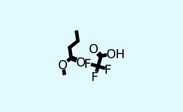 CCCC(=O)OC.O=C(O)C(F)(F)F